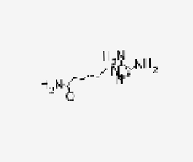 NC(=O)CCCCCn1ncc(N)c1N